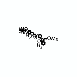 COCCCn1c(C2CCCN(C(=O)C[C@H](N)Cc3ccc(NC(=O)c4csnn4)cc3)C2)c(C)c2ccccc21